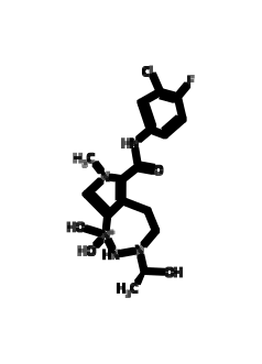 C[C@H](O)N1CCc2c(cn(C)c2C(=O)Nc2ccc(F)c(Cl)c2)[N+](O)(O)N1